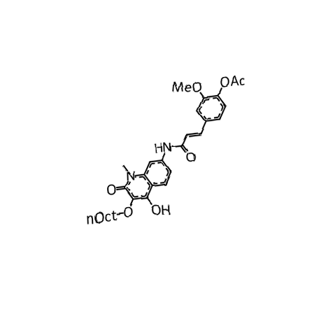 CCCCCCCCOc1c(O)c2ccc(NC(=O)/C=C/c3ccc(OC(C)=O)c(OC)c3)cc2n(C)c1=O